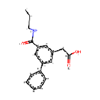 CCCNC(=O)c1cc(CC(=O)O)cc(-c2ccccc2)c1